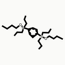 CCCCO[Si](CCC)(CCC)c1ccc([Si](CCC)(CCC)OCCCC)cc1